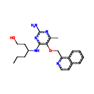 CCCC(CCO)Nc1nc(N)nc(C)c1OCc1nccc2ccccc12